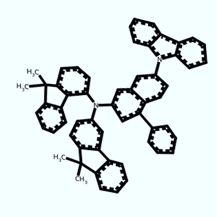 CC1(C)c2ccccc2-c2cc(N(c3cc(-c4ccccc4)c4ccc(-n5c6ccccc6c6ccccc65)cc4c3)c3cccc4c3-c3ccccc3C4(C)C)ccc21